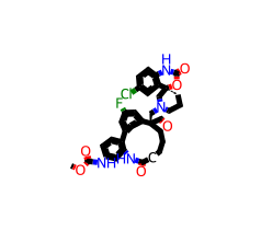 COC(=O)Nc1ccc2c(c1)NC(=O)CCCC[C@](C=O)(CN1CCC[C@@]3(C1)OC(=O)Nc1ccc(Cl)cc13)c1cc(F)cc-2c1